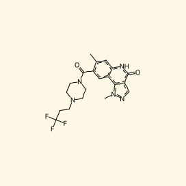 Cc1cc2[nH]c(=O)c3cnn(C)c3c2cc1C(=O)N1CCN(CCC(F)(F)F)CC1